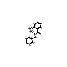 O=C(c1ccccc1O)N(O)Cc1ccccc1